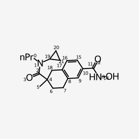 CCCN(C(=O)C1(C)CCc2cc(C(=O)NO)ccc2C1)C1CC1